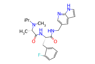 CC(C)N(C)[C@@H](C)C(=O)N[C@@H](Cc1ccccc1F)C(=O)NCc1cnc2[nH]ccc2c1